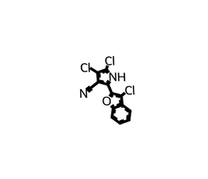 N#Cc1c(-c2oc3ccccc3c2Cl)[nH]c(Cl)c1Cl